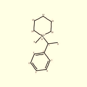 CC(c1ccccc1)[N+]1(C)CCCCC1